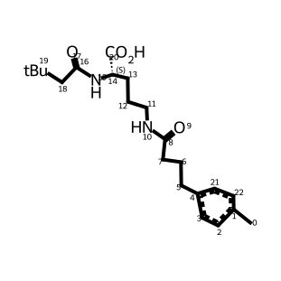 Cc1ccc(CCCC(=O)NCCC[C@H](NC(=O)CC(C)(C)C)C(=O)O)cc1